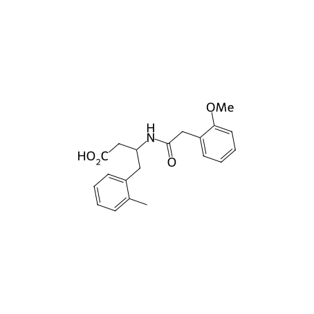 COc1ccccc1CC(=O)NC(CC(=O)O)Cc1ccccc1C